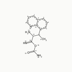 CC(c1cccc2cccnc12)C(N)C(=N)OC(N)=O